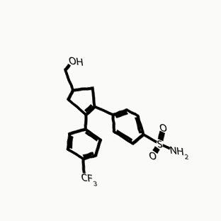 NS(=O)(=O)c1ccc(C2=C(c3ccc(C(F)(F)F)cc3)CC(CO)C2)cc1